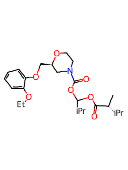 CCOc1ccccc1OC[C@@H]1CN(C(=O)OC(OC(=O)[C@H](C)C(C)C)C(C)C)CCO1